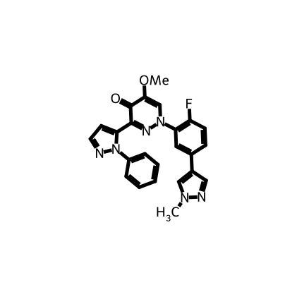 COc1cn(-c2cc(-c3cnn(C)c3)ccc2F)nc(-c2ccnn2-c2ccccc2)c1=O